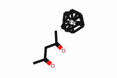 CC(=O)CC(C)=O.[CH]12[CH]3[CH]4[CH]5[CH]1[Fe]23451678[CH]2[CH]1[CH]6[CH]7[CH]28